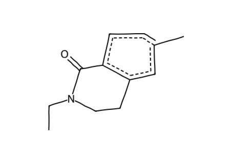 CCN1CCc2cc(C)ccc2C1=O